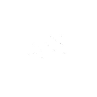 CN1CN(C2O[C@H](CO)[C@@H](O)[C@H]2O)c2nc(N)nc(S)c21